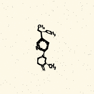 CC[C@H](C)c1ccc(N2CCN[C@@H](C)C2)nc1